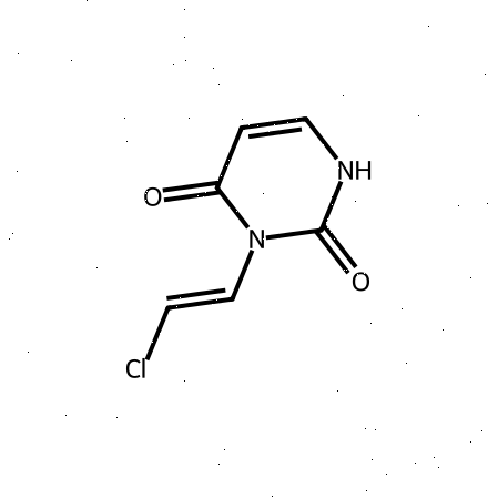 O=c1cc[nH]c(=O)n1C=CCl